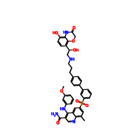 COc1cccc(Nc2c(C(N)=O)cnc3c(C)cc(S(=O)(=O)c4cccc(-c5ccc(CCCNCC(O)c6ccc(O)c7c6OCC(=O)N7)cc5)c4)cc23)c1